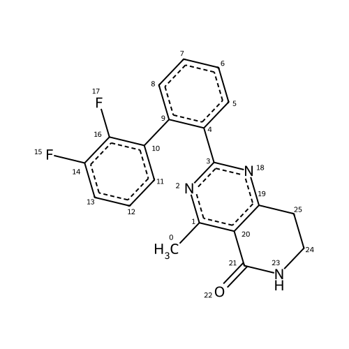 Cc1nc(-c2ccccc2-c2cccc(F)c2F)nc2c1C(=O)NCC2